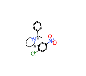 C[C@H](c1ccccc1)N1CCCC[C@H]1c1cc([N+](=O)[O-])ccc1Cl